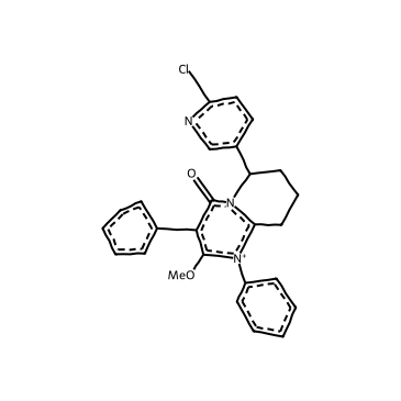 COc1c(-c2ccccc2)c(=O)n2c([n+]1-c1ccccc1)CCCC2c1ccc(Cl)nc1